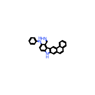 N=Cc1c(Nc2ccccc2)ccc2[nH]c3cc4ccc5ccccc5c4cc3c12